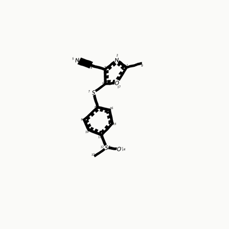 Cc1nc(C#N)c(Sc2ccc([S+](C)[O-])cc2)o1